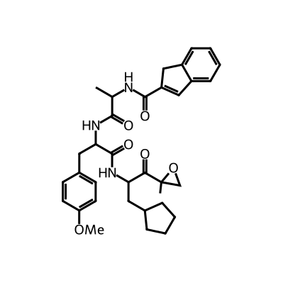 COc1ccc(CC(NC(=O)C(C)NC(=O)C2=Cc3ccccc3C2)C(=O)NC(CC2CCCC2)C(=O)C2(C)CO2)cc1